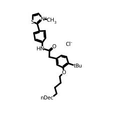 CCCCCCCCCCCCCCOc1cc(CC(=O)Nc2ccc(-c3scc[n+]3C)cc2)ccc1C(C)(C)C.[Cl-]